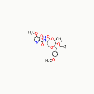 COc1ccc(C[C@H]2OCC[C@H](NC(=O)c3nccc(OC)c3O)C(=O)O[C@@H](C)[C@@H]2OCC2CC2)cc1